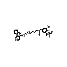 FC(F)(F)Oc1ccc(CNCCCCOCCOc2nc3ccccc3c3cnccc23)cc1Br